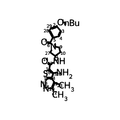 CCCCOc1ccc(C(=O)N2CCC(NC(=O)c3sc4nnc(C)c(C)c4c3N)C2)cc1